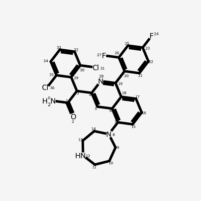 NC(=O)C(c1cc2c(N3CCCNCC3)cccc2c(-c2ccc(F)cc2F)n1)c1c(Cl)cccc1Cl